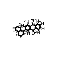 [2H]c1c([2H])c([2H])c2c(c1[2H])C(=O)c1c([2H])c([2H])c(-c3cccc4ccccc34)c([2H])c1C2=O